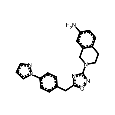 Nc1ccc2c(c1)CN(c1noc(Cc3ccc(-n4cccn4)cc3)n1)CC2